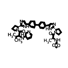 CC(C)C(NC1C=CC=NC1)C(=O)N1CCC[C@H]1c1ncc(-c2ccc(-c3ccc(-c4cnc([C@@H]5CCCN5C(=O)[C@H](C)NC5OCO5)[nH]4)cc3)cc2)[nH]1